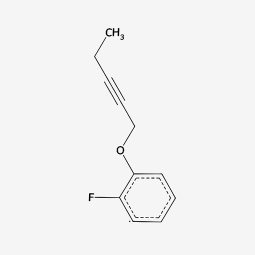 CCC#CCOc1ccc[c]c1F